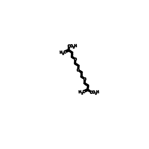 C=C(CCOCCOCCOCCC(=C)C(=O)O)C(=O)O